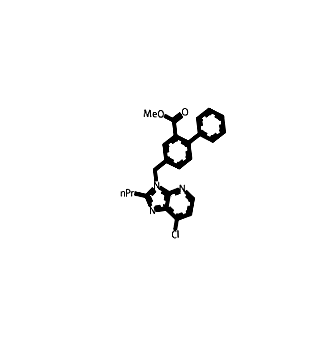 CCCc1nc2c(Cl)ccnc2n1Cc1ccc(-c2ccccc2)c(C(=O)OC)c1